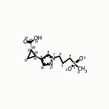 CS(=O)(=O)CCCn1cc([C@H]2C[C@@H]2C(=O)O)cn1